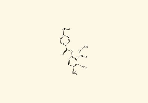 CCCCCc1ccc(C(=O)Oc2ccc([N+](=O)[O-])c(N)c2C(=O)OC(C)(C)C)cc1